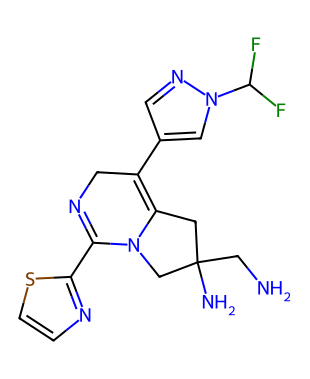 NCC1(N)CC2=C(c3cnn(C(F)F)c3)CN=C(c3nccs3)N2C1